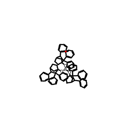 c1ccc(C2C3CCC(OB(OC45CCC(C4)C(c4ccccc4)C5(c4ccccc4)c4ccccc4)OC45CCC(C4)C(c4ccccc4)C5(c4ccccc4)c4ccccc4)(C3)C2(c2ccccc2)c2ccccc2)cc1